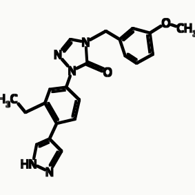 CCc1cc(-n2ncn(Cc3cccc(OC)c3)c2=O)ccc1-c1cn[nH]c1